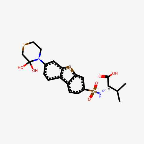 CC(C)[C@H](NS(=O)(=O)c1ccc2c(c1)sc1cc(N3CCSCC3(O)O)ccc12)C(=O)O